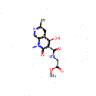 CC(C)c1cc2c(O)c(C(=O)NCC(=O)OC(C)(C)C)c(=O)n(C)c2cn1